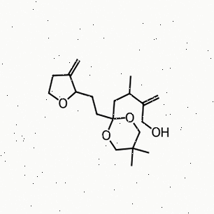 C=C(CO)C(C)CC1(CCC2OCCC2=C)OCC(C)(C)CO1